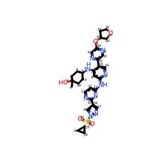 CC1(O)CCC(Nc2cc(Nc3ccnc(-c4cnn(S(=O)(=O)C5CC5)c4)n3)ncc2-c2cnc(OC3CCOC3)cn2)CC1